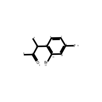 CC(=O)C(C)c1ccc(F)[c]c1Br